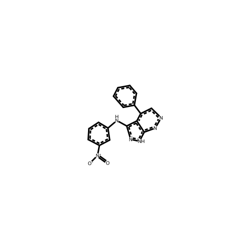 O=[N+]([O-])c1cccc(Nc2n[nH]c3nncc(-c4ccccc4)c23)c1